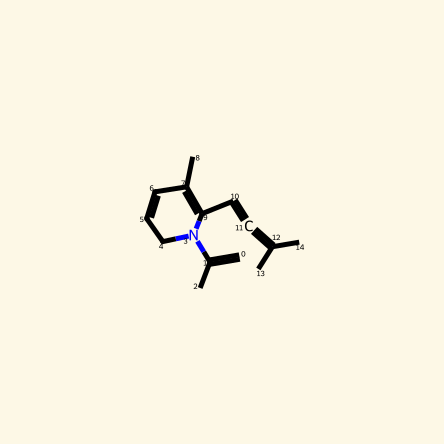 C=C(C)N1CC=CC(C)=C1C=C=C(C)C